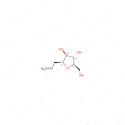 C=CC[C@@H]1O[C@H](CO)[C@@H](O)[C@@H]1O